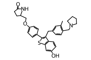 Cc1cc(Cc2c(-c3ccc(OCC4CCC(=O)N4)cc3)sc3cc(O)ccc23)ccc1CN1CCCC1